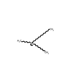 CCCCCCCCCCCCCCC1N(CCCCCCC)C=CN1CCCCCCCCCC